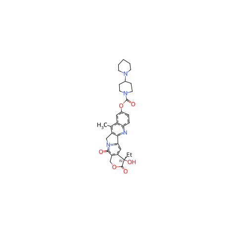 CC[C@@]1(O)C(=O)OCc2c1cc1n(c2=O)Cc2c-1nc1ccc(OC(=O)N3CCC(N4CCCCC4)CC3)cc1c2C